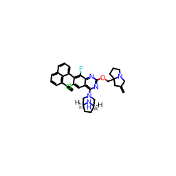 C#Cc1cccc2cccc(-c3c(Cl)cc4c(N5C[C@H]6CC[C@@H](C5)N6)nc(OCC56CCCN5CC(=C)C6)nc4c3F)c12